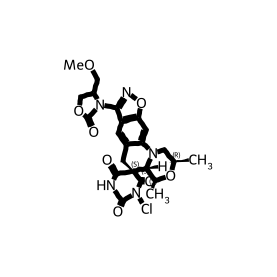 COCC1COC(=O)N1c1noc2cc3c(cc12)C[C@@]1(C(=O)NC(=O)N(Cl)C1=O)[C@H]1[C@H](C)O[C@H](C)CN31